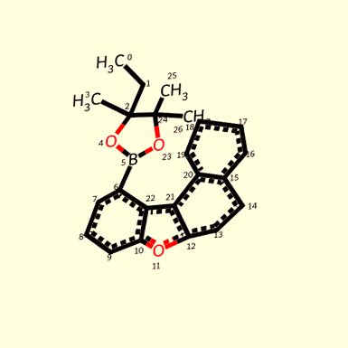 CCC1(C)OB(c2cccc3oc4ccc5ccccc5c4c23)OC1(C)C